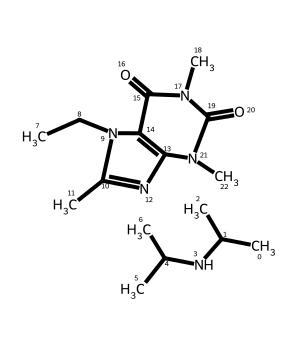 CC(C)NC(C)C.CCn1c(C)nc2c1c(=O)n(C)c(=O)n2C